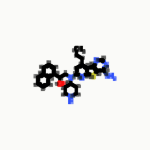 CCCc1cc(N(CC(O)c2cccc3ccccc23)C2CCNCC2)nc2sc3c(N)ncnc3c12